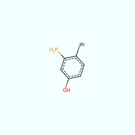 CC(C)c1ccc(O)cc1P